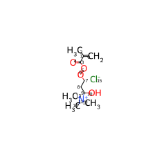 C=C(C)C(=O)OOCCC(O)[N+](C)(C)C.[Cl-]